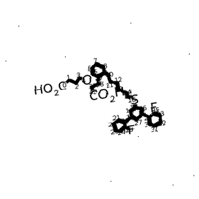 O=C(O)CCCOc1cccc(CCCCCCSc2cc(-c3ccccc3F)cc(-c3ccccc3F)c2)c1CCC(=O)O